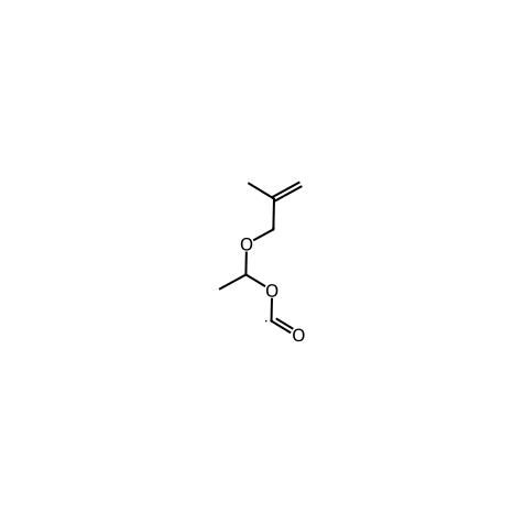 C=C(C)COC(C)O[C]=O